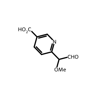 COC(C=O)c1ccc(C(=O)O)cn1